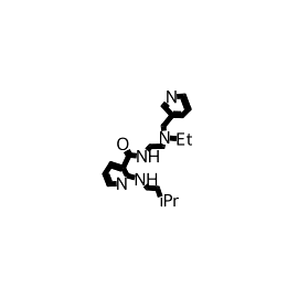 CCN(CCNC(=O)c1cccnc1NCCC(C)C)Cc1cccnc1